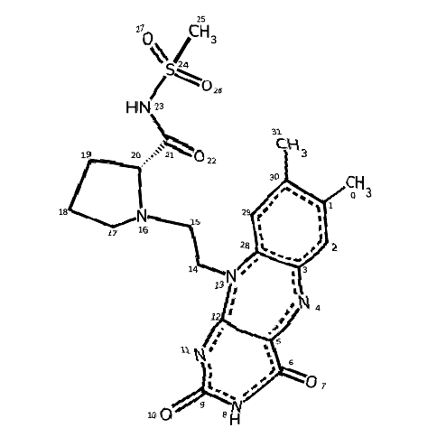 Cc1cc2nc3c(=O)[nH]c(=O)nc-3n(CCN3CCC[C@@H]3C(=O)NS(C)(=O)=O)c2cc1C